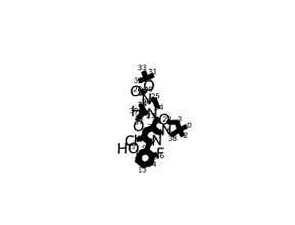 CC1(C)CCN(c2nc(-c3c(O)cccc3F)c(Cl)c3c2C(=O)N2CCN(C(=O)OC(C)(C)C)C[C@@H]2CO3)C1